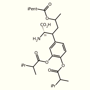 CCCC(C)C(=O)OC(C)CC(c1ccc(OC(=O)C(C)C(C)C)c(OC(=O)C(C)C(C)C)c1)[C@H](N)C(=O)O